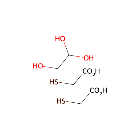 O=C(O)CS.O=C(O)CS.OCC(O)O